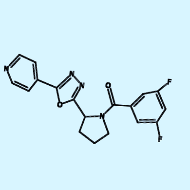 O=C(c1cc(F)cc(F)c1)N1CCCC1c1nnc(-c2ccncc2)o1